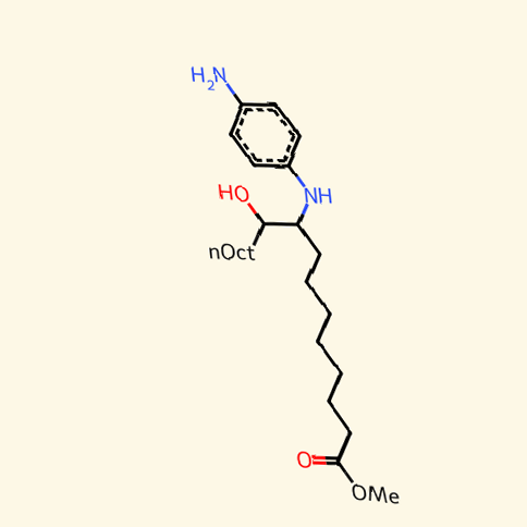 CCCCCCCCC(O)C(CCCCCCCC(=O)OC)Nc1ccc(N)cc1